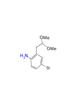 COC(Cc1cc(Br)ccc1N)OC